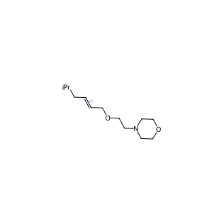 CC(C)C/C=C/COCCN1CCOCC1